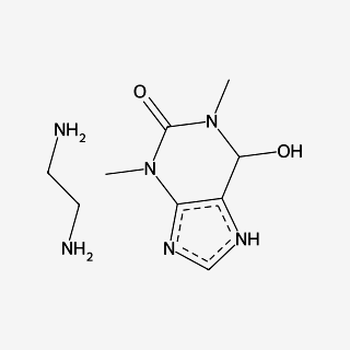 CN1C(=O)N(C)C(O)c2[nH]cnc21.NCCN